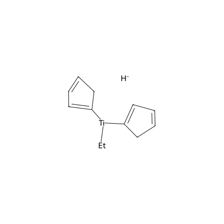 C[CH2][Ti]([C]1=CC=CC1)[C]1=CC=CC1.[H-]